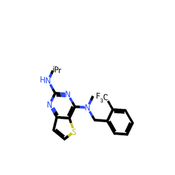 CC(C)Nc1nc(N(C)Cc2ccccc2C(F)(F)F)c2sccc2n1